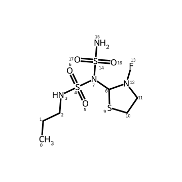 CCCNS(=O)(=O)N(C1SCCN1F)S(N)(=O)=O